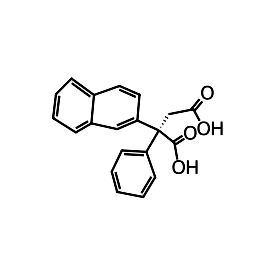 O=C(O)C[C@](C(=O)O)(c1ccccc1)c1ccc2ccccc2c1